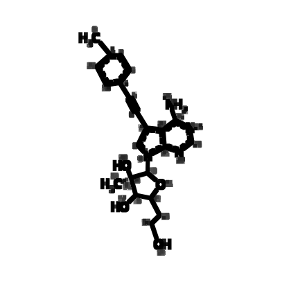 Cc1ccc(C#Cc2cn(C3OC(CCO)C(O)[C@@]3(C)O)c3ncnc(N)c23)cc1